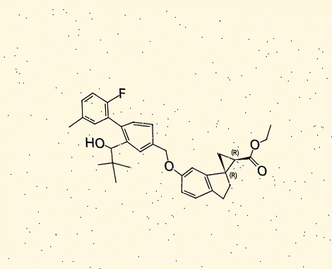 CCOC(=O)[C@@H]1C[C@]12CCc1ccc(OCc3ccc(-c4cc(C)ccc4F)c(C(O)C(C)(C)C)c3)cc12